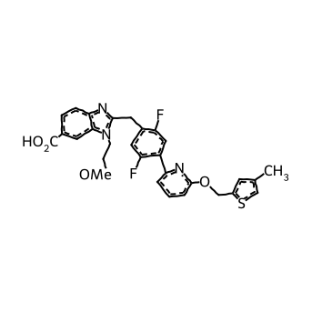 COCCn1c(Cc2cc(F)c(-c3cccc(OCc4cc(C)cs4)n3)cc2F)nc2ccc(C(=O)O)cc21